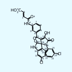 O=C(O)C=CC(=O)Nc1cccc(C(=O)C2=C(O)C(=O)N(c3cccc(Cl)c3)C23C(=O)Nc2cc(Cl)ccc23)c1